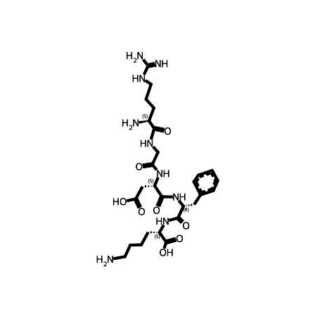 N=C(N)NCCC[C@H](N)C(=O)NCC(=O)N[C@@H](CC(=O)O)C(=O)N[C@H](Cc1ccccc1)C(=O)N[C@@H](CCCCN)C(=O)O